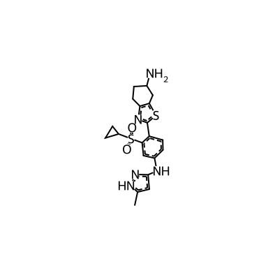 Cc1cc(Nc2ccc(-c3nc4c(s3)CC(N)CC4)c(S(=O)(=O)C3CC3)c2)n[nH]1